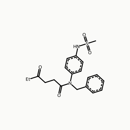 CCC(=O)CCC(=O)N(Cc1ccccc1)c1ccc(NS(C)(=O)=O)cc1